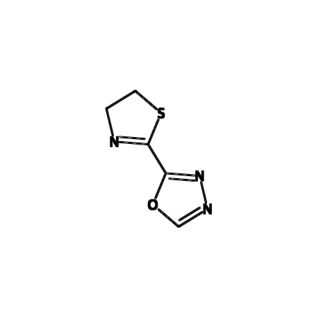 c1nnc(C2=NCCS2)o1